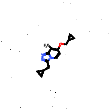 FC(F)(F)c1c(OCC2CC2)ccn2c(CC3CC3)nnc12